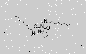 CCCCCCCCN(C)CN1C(=O)N(CN(C)CCCCCCCC)C2(CCCC2)C1=O